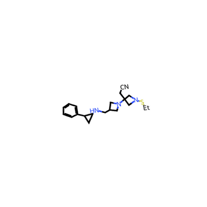 CCSN1CC(CC#N)(N2CC(CNC3CC3c3ccccc3)C2)C1